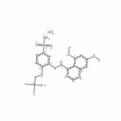 COc1cc(OC)c2c(NCc3cc(S(N)(=O)=O)ccc3OCC(F)(F)F)ncnc2c1.Cl